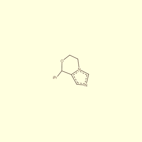 CC(C)C1OCCn2cncc21